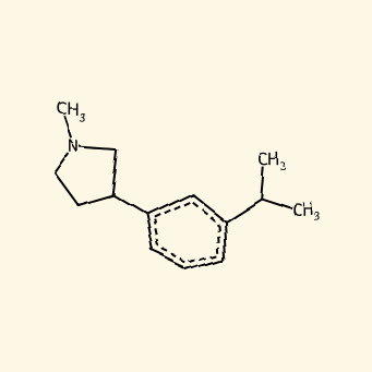 CC(C)c1cccc(C2CCN(C)C2)c1